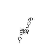 CCOc1ccc(/C=C/C(=O)NNC(=O)/C=C/c2ccc(C)cc2)cc1